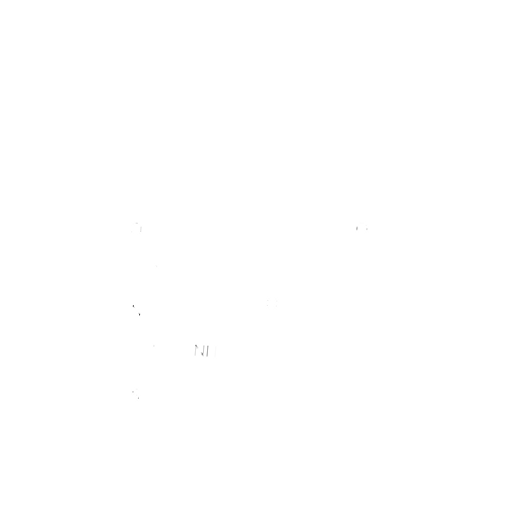 CCN1C(=O)C(=CC=Cc2ccco2)C(=O)NC1=S